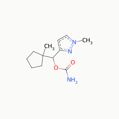 Cn1ccc(C(OC(N)=O)C2(C)CCCC2)n1